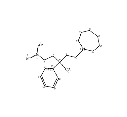 CC(C)N(CCC(C#N)(CCN1CCCCCC1)c1ccccc1)C(C)C